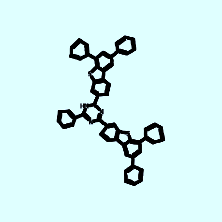 c1ccc(C2=NC(c3ccc4c(c3)sc3c(-c5ccccc5)cc(-c5ccccc5)cc34)=NC(c3ccc4c(c3)sc3c(-c5ccccc5)cc(-c5ccccc5)cc34)N2)cc1